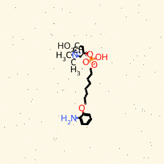 C[N+](C)(C)C[C@@H](CC(=O)O)OP(=O)(O)OCCCCCCCCOc1ccccc1N